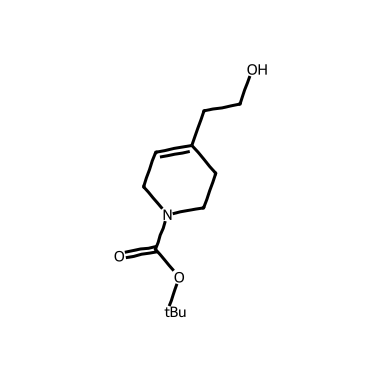 CC(C)(C)OC(=O)N1CC=C(CCO)CC1